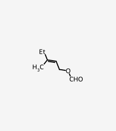 CCC(C)=CCOC=O